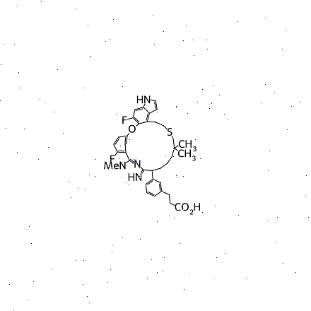 CN/C1=N\C(=N)C(c2cccc(CCC(=O)O)c2)CCCC(C)(C)CSCCc2c(c(F)cc3[nH]ccc23)Oc2ccc(F)c1c2